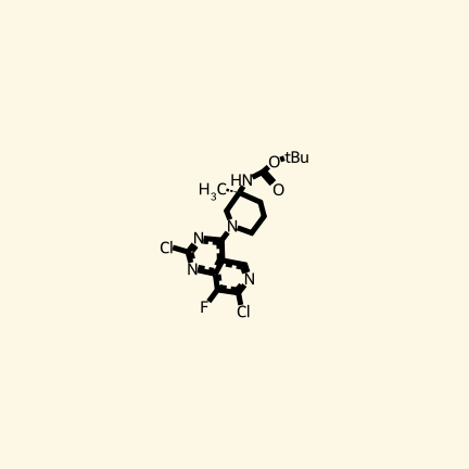 CC(C)(C)OC(=O)N[C@@]1(C)CCCN(c2nc(Cl)nc3c(F)c(Cl)ncc23)C1